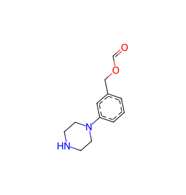 O=COCc1cccc(N2CCNCC2)c1